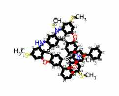 CSc1cc2c3c(c1)Oc1cc(-c4ccccc4)ccc1B3c1cc3c(cc1N2)N(SC)c1cc(SC)cc2c1B3c1cc3c(cc1O2)N(SC)c1cc(SC)cc2c1B3c1ccc(-c3ccccc3)cc1O2